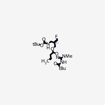 C=CCC(OC/C(=C/F)CNC(=O)OC(C)(C)C)O/N=C(\NC)NC(=O)C(C)(C)C